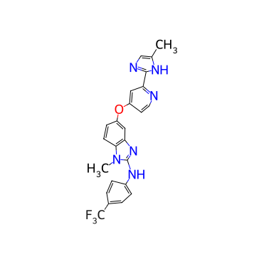 Cc1cnc(-c2cc(Oc3ccc4c(c3)nc(Nc3ccc(C(F)(F)F)cc3)n4C)ccn2)[nH]1